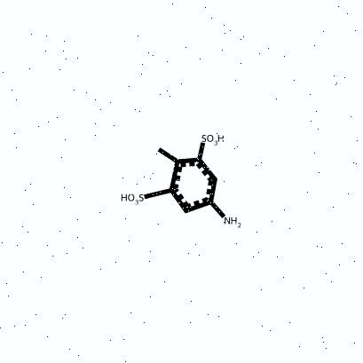 Cc1c(S(=O)(=O)O)cc(N)cc1S(=O)(=O)O